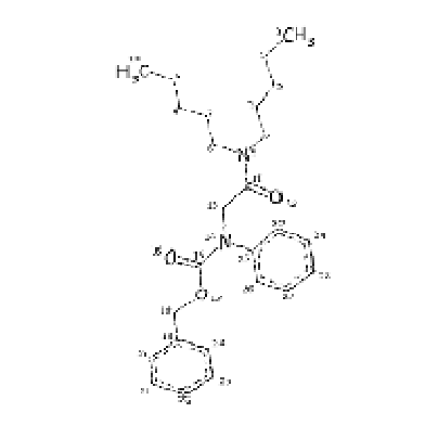 CCCCCN(CCCCC)C(=O)CN(C(=O)OCc1ccccc1)c1ccccc1